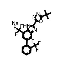 CC(C)(C)c1nnc(-c2nc3cc(-c4ccccc4C(F)(F)F)cc(C(F)(F)F)c3[nH]2)o1.[Na]